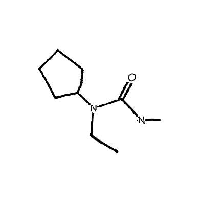 CCN(C(=O)[N]C)C1CCCC1